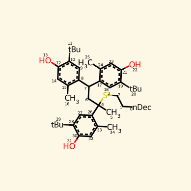 CCCCCCCCCCCCSC(C)(CC(c1cc(C(C)(C)C)c(O)cc1C)c1cc(C(C)(C)C)c(O)cc1C)c1cc(C(C)(C)C)c(O)cc1C